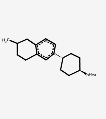 CCCCCC[C@H]1CC[C@H](c2ccc3c(c2)CCC(C)C3)CC1